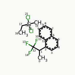 CC(c1cccc2ccccc12)C(F)(F)F.CC[Si](C)(Cl)Cl